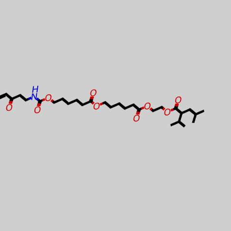 C=CC(=O)CCNC(=O)OCCCCCC(=O)OCCCCCC(=O)OCCOC(=O)C(CC(C)C)C(C)C